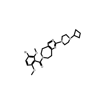 COc1ccc(Br)c(OC)c1C(=O)N1CCc2cnc(N3CCN(C4CCC4)CC3)nc2CC1